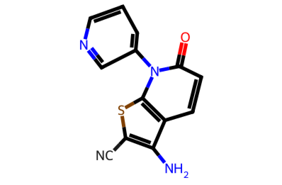 N#Cc1sc2c(ccc(=O)n2-c2cccnc2)c1N